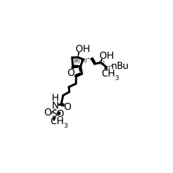 CCCC[C@H](C)[C@H](O)C=C[C@@H]1c2cc(CCCCC(=O)NS(C)(=O)=O)oc2C[C@H]1O